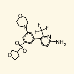 Nc1ccc(-c2cc(N3CCOCC3)cc(S(=O)(=O)C3CCOC3)c2)c(C(F)(F)F)n1